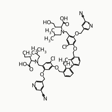 CCCC(C(=O)O)N(Cc1cc(Cl)c(OCc2cccc(-c3cccc(COc4cc(OCc5cncc(C#N)c5)c(CN(CC(C)C)C(CCO)C(=O)O)cc4Cl)c3C)c2C)cc1OCc1cncc(C#N)c1)CC(C)C